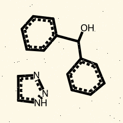 OC(c1ccccc1)c1ccccc1.c1c[nH]nn1